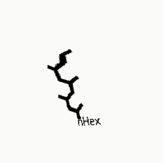 CC=CC(C)CC(C)CC(C)CC(C)CCCCCC